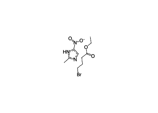 CCOC(=O)CCCBr.Cc1ncc([N+](=O)[O-])[nH]1